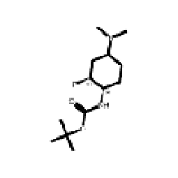 CN(C)C1CC[C@@H](NC(=O)OC(C)(C)C)[C@@H](F)C1